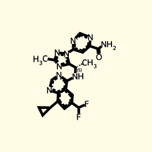 Cc1nc([C@H](C)Nc2ncnc3c(C4CC4)cc(C(F)F)cc23)n(-c2cc(C(N)=O)ncn2)n1